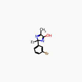 CCC1(c2cccc(Br)c2)N=C(C)C(O)=N1